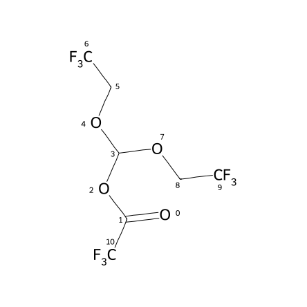 O=C(OC(OCC(F)(F)F)OCC(F)(F)F)C(F)(F)F